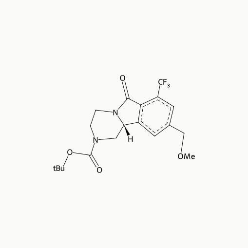 COCc1cc2c(c(C(F)(F)F)c1)C(=O)N1CCN(C(=O)OC(C)(C)C)C[C@@H]21